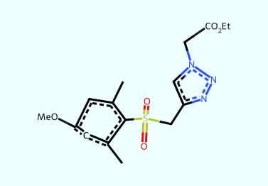 CCOC(=O)Cn1cc(CS(=O)(=O)c2c(C)cc(OC)cc2C)nn1